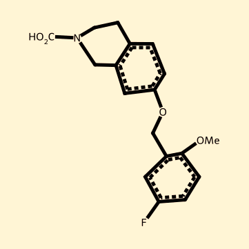 COc1ccc(F)cc1COc1ccc2c(c1)CN(C(=O)O)CC2